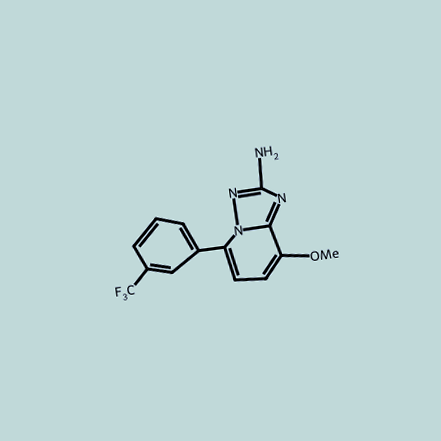 COc1ccc(-c2cccc(C(F)(F)F)c2)n2nc(N)nc12